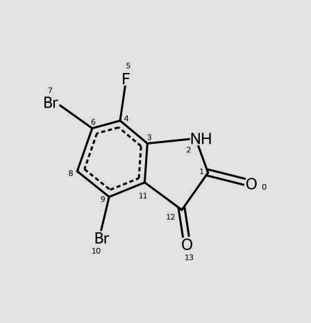 O=C1Nc2c(F)c(Br)cc(Br)c2C1=O